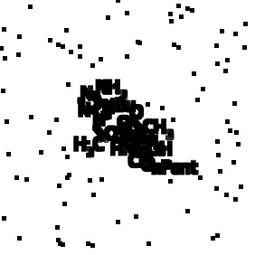 CCCCCOC(O)C(C)(C)NP(=O)(CO[C@H](C)Cn1cnc2c(N)ncnc21)N[C@H](C)C(=O)OCCCC